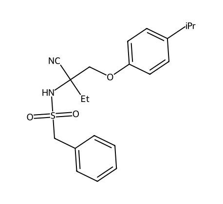 CCC(C#N)(COc1ccc(C(C)C)cc1)NS(=O)(=O)Cc1ccccc1